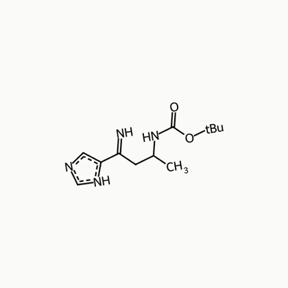 CC(CC(=N)c1cnc[nH]1)NC(=O)OC(C)(C)C